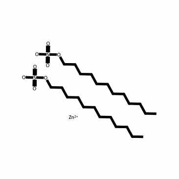 CCCCCCCCCCCCOS(=O)(=O)[O-].CCCCCCCCCCCCOS(=O)(=O)[O-].[Zn+2]